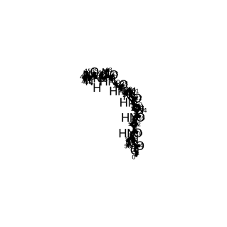 CCOC(=O)c1nc(NC(=O)C2CC(NC(=O)c3cc(NC(=O)c4nc(NC(=O)CCNC(=O)c5cc(NC(=O)c6nccn6C)cn5C)cn4C)cn3C)C2)cn1C